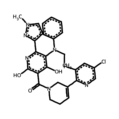 CCN(c1ccccc1)c1c(-c2ccn(C)n2)nc(O)c(C(=O)N2CCC=C(c3ncc(Cl)cc3F)C2)c1O